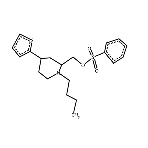 CCCCN1CCC(c2cccs2)CC1COS(=O)(=O)c1ccccc1